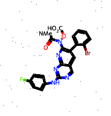 CNC(=O)N(OC(=O)O)c1nc2nc(Nc3ccc(F)cc3)ncc2cc1-c1ccccc1Br